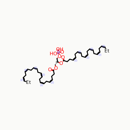 CC/C=C\C/C=C\C/C=C\C/C=C\C/C=C\C/C=C\CCC(=O)OC[C@H](COP(=O)(O)O)OC(=O)CC/C=C\C/C=C\C/C=C\C/C=C\C/C=C\C/C=C\CC